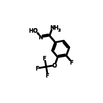 N/C(=N\O)c1ccc(F)c(OC(F)(F)F)c1